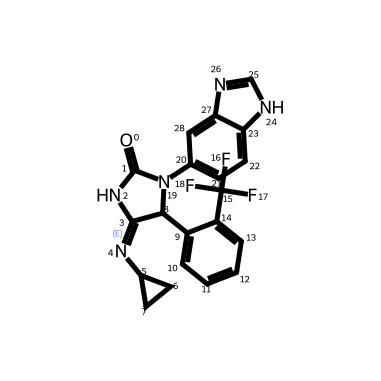 O=C1N/C(=N/C2CC2)C(c2ccccc2C(F)(F)F)N1c1ccc2[nH]cnc2c1